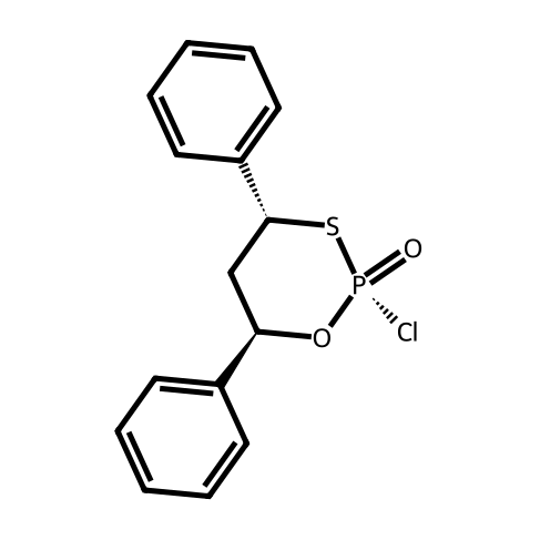 O=[P@@]1(Cl)O[C@@H](c2ccccc2)C[C@H](c2ccccc2)S1